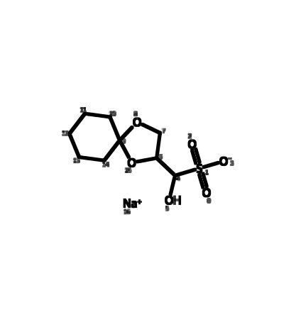 O=S(=O)([O-])C(O)C1COC2(CCCCC2)O1.[Na+]